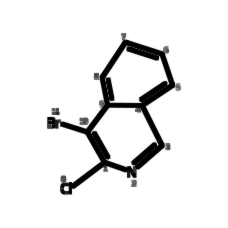 Clc1ncc2ccccc2c1Br